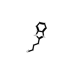 ClCCCc1nc2ccccc2o1